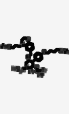 COCCCCOc1ccc([C@@H]2[C@@H](OCc3ccc4c(c3)N(CCCOC)CCO4)CN(C(=O)O)C[C@H]2O[Si](C(C)C)(C(C)C)C(C)C)cc1